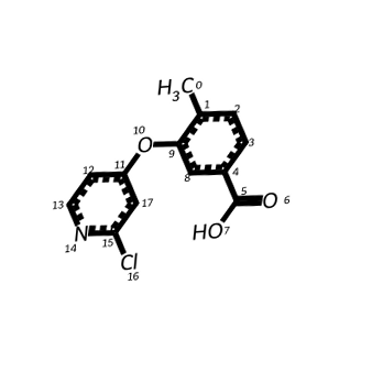 Cc1ccc(C(=O)O)cc1Oc1ccnc(Cl)c1